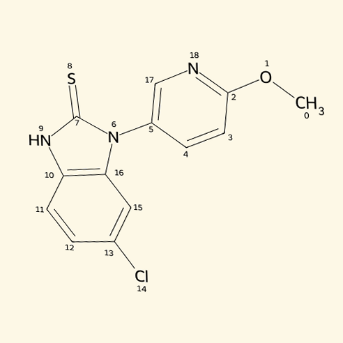 COc1ccc(-n2c(=S)[nH]c3ccc(Cl)cc32)cn1